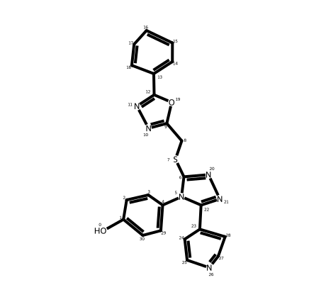 Oc1ccc(-n2c(SCc3nnc(-c4ccccc4)o3)nnc2-c2ccncc2)cc1